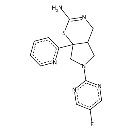 NC1=NCC2CN(c3ncc(F)cn3)CC2(c2ccccn2)S1